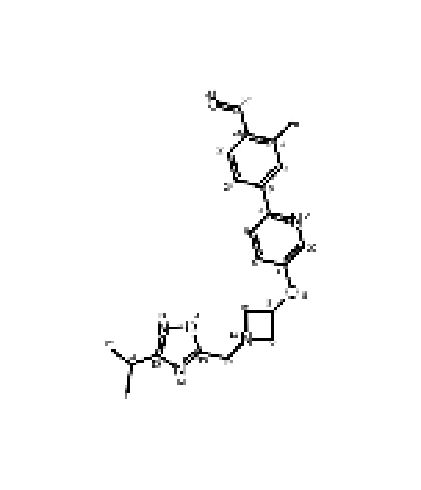 Cc1cc(-c2ccc(OC3CN(Cc4nc(C(C)C)no4)C3)cn2)ccc1C=O